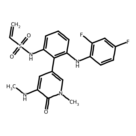 C=CS(=O)(=O)Nc1cccc(Nc2ccc(F)cc2F)c1-c1cc(NC)c(=O)n(C)c1